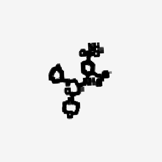 NS(=O)(=O)c1ccc(N[C@H](CSc2ccccc2)CC(=O)N2CCOCC2)c([N+](=O)[O-])c1